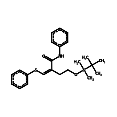 CC(C)(C)[Si](C)(C)OCCC(=CSc1ccccc1)C(=O)Nc1ccccc1